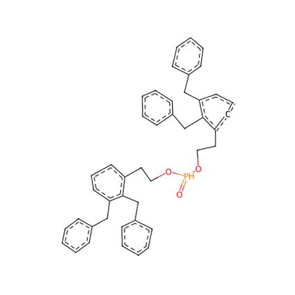 O=[PH](OCCc1cccc(Cc2ccccc2)c1Cc1ccccc1)OCCc1cccc(Cc2ccccc2)c1Cc1ccccc1